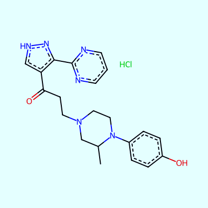 CC1CN(CCC(=O)c2c[nH]nc2-c2ncccn2)CCN1c1ccc(O)cc1.Cl